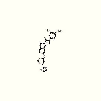 NCc1ccc(NC(=O)c2cnc3ccc(Oc4ccnc(-c5ncc[nH]5)c4)cc3c2)cc1C(F)(F)F